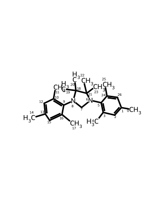 Cc1cc(C)c(N2CN(c3c(C)cc(C)cc3C)C(C)(C)C2(C)C)c(C)c1